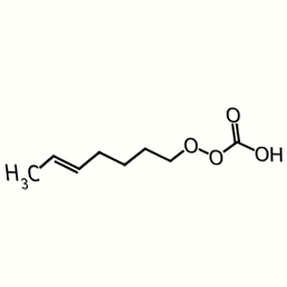 CC=CCCCCOOC(=O)O